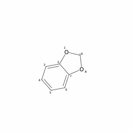 [C]1Oc2ccccc2O1